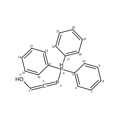 OC=C=P[PH](c1ccccc1)(c1ccccc1)c1ccccc1